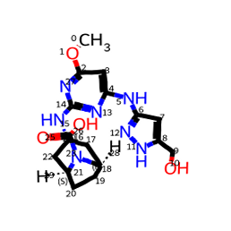 COc1cc(Nc2cc(CO)[nH]n2)nc(N[C@@H]2C[C@H]3CC[C@@H](C2)N3C(=O)O)n1